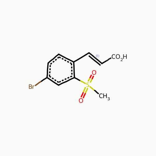 CS(=O)(=O)c1cc(Br)ccc1/C=C/C(=O)O